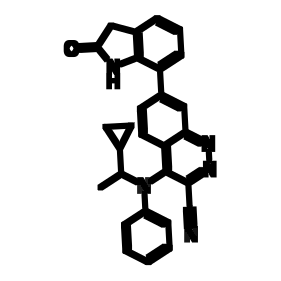 CC(C1CC1)N(c1ccccc1)c1c(C#N)nnc2cc(-c3cccc4c3NC(=O)C4)ccc12